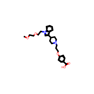 COCCOCCn1cc(C2CCN(CCCOc3ccc(C(=O)O)cc3)CC2)c2ccccc21